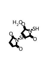 O.O=C1C=CC(=O)N1S.O=C1C=CC(=O)N1S